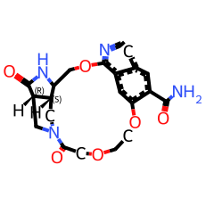 NC(=O)c1cc2ccnc3c2cc1OCCOCC(=O)N1C[C@@H]2C(=O)NC(CO3)[C@@H]2C1